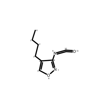 CCCCc1conc1N=C=O